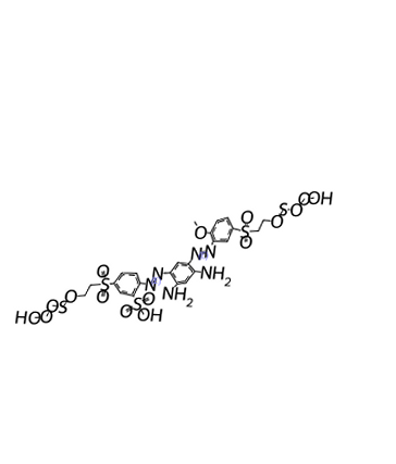 COc1ccc(S(=O)(=O)CCOSOOO)cc1/N=N/c1cc(/N=N/c2ccc(S(=O)(=O)CCOSOOO)cc2S(=O)(=O)O)c(N)cc1N